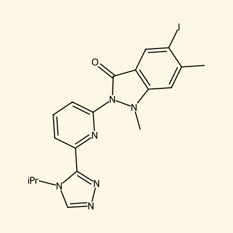 Cc1cc2c(cc1I)c(=O)n(-c1cccc(-c3nncn3C(C)C)n1)n2C